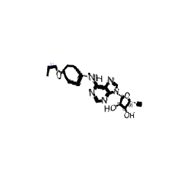 C#C[C@H]1O[C@@H](n2cnc3c(N[C@H]4CC[C@H](O/C=C\C)CC4)ncnc32)[C@H](O)[C@@H]1O